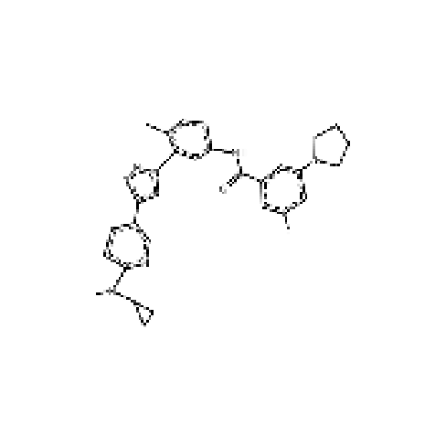 Cc1ccc(NC(=O)c2cc(F)cc(N3CCCC3)c2)cc1-n1cc(-c2ccc(N(C)C3CC3)nc2)nn1